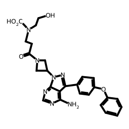 Nc1ncnc2c1c(-c1ccc(Oc3ccccc3)cc1)nn2C1CN(C(=O)CCN(CCO)C(=O)O)C1